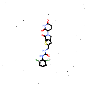 O=C1CCC(N2Cc3cc(CNC(=O)Nc4c(Cl)cccc4Cl)sc3C2=O)C(=O)N1